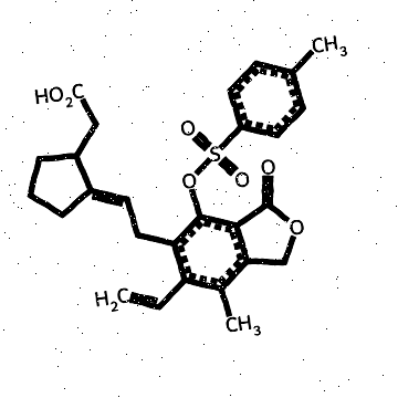 C=Cc1c(C)c2c(c(OS(=O)(=O)c3ccc(C)cc3)c1C/C=C1\CCCC1CC(=O)O)C(=O)OC2